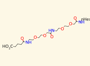 CCCCCCNC(=O)COCCOCCNC(=O)COCCOCCNC(=O)CCCC(=O)O